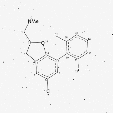 CNCC1Cc2cc(Cl)cc(-c3c(C)cccc3C)c2O1